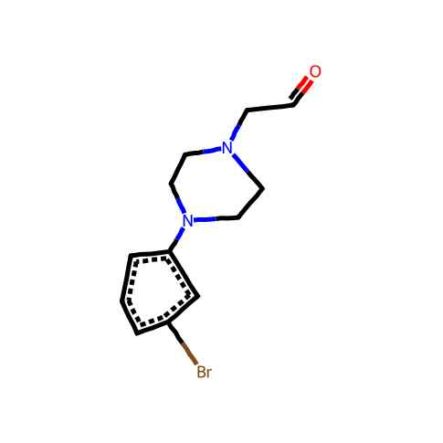 O=CCN1CCN(c2cccc(Br)c2)CC1